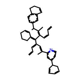 C=CC=C(/C=C(\C)c1cc(C2C=CC=CC2)ccn1)C(=C1C=CCCC1)C(/C=C\C=C)=C(/C)C(C)c1ccc2c(c1)C=CCC2